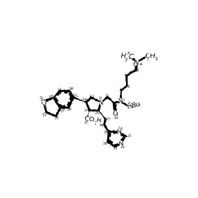 CCCCN(CCCCN(C)C)C(=O)CN1C[C@H](c2ccc3c(c2)CCO3)[C@@H](C(=O)O)[C@@H]1CCc1ccncn1